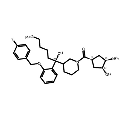 COCCCC[C@@](O)(c1ccccc1OCc1ccc(F)cc1)C1CCCN(C(=O)[C@H]2C[C@@H](N)[C@@H](O)C2)C1